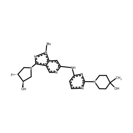 CCC(C)n1nc(N2C[C@@H](O)[C@H](F)C2)c2cnc(Nc3ccnc(N4CCC(C)(O)CC4)n3)cc21